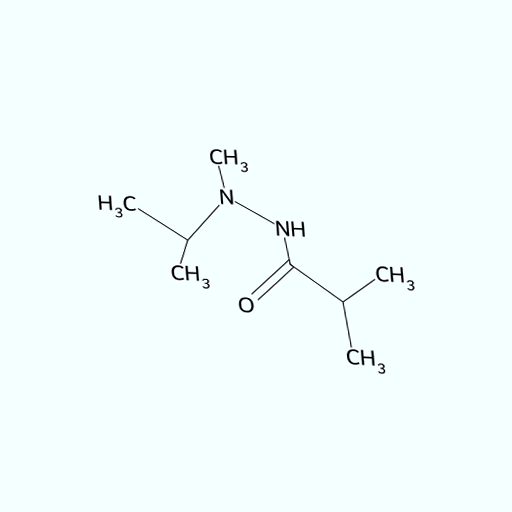 CC(C)C(=O)NN(C)C(C)C